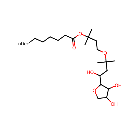 CCCCCCCCCCCCCCCC(=O)OC(C)(C)CCOC(C)(C)CC(O)C1OCC(O)C1O